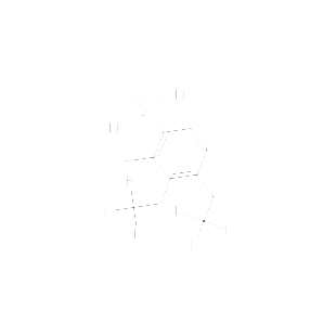 O=P(O)(O)c1ccc(CC(F)(F)F)c(CC(F)(F)F)c1F